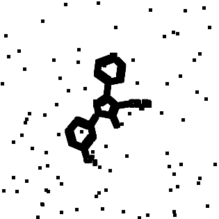 CCOC(=O)c1c(-c2ccncc2)nn(-c2cccc(C(F)(F)F)c2)c1C